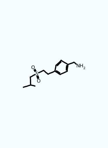 CC(C)CS(=O)(=O)CCc1ccc(CN)cc1